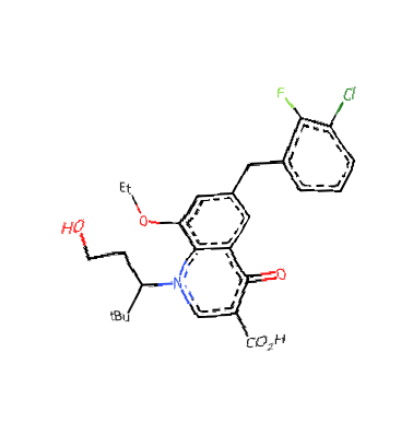 CCOc1cc(Cc2cccc(Cl)c2F)cc2c(=O)c(C(=O)O)cn(C(CCO)C(C)(C)C)c12